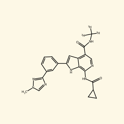 [2H]C([2H])([2H])NC(=O)c1cnc(NC(=O)C2CC2)c2[nH]c(-c3cccc(-c4ncn(C)n4)c3)cc12